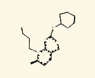 O=c1ccc2cnc(NC3CCCCC3)nc2n1CCCO